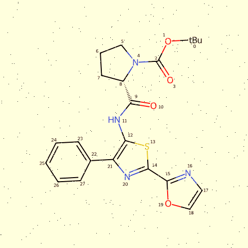 CC(C)(C)OC(=O)N1CCC[C@H]1C(=O)Nc1sc(-c2ncco2)nc1-c1ccccc1